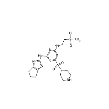 CS(=O)(=O)CCNc1cc(S(=O)(=O)C2CCNCC2)cc(Nc2nc3c(s2)CCC3)n1